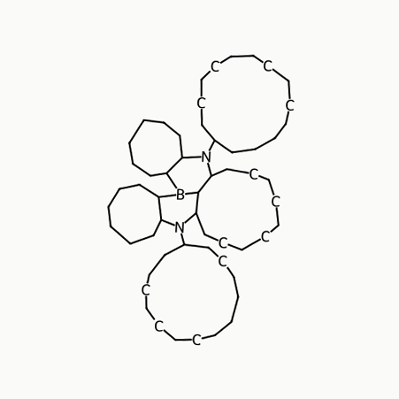 C1CCCCCCC(N2C3CCCCCCC3B3C4CCCCCCC4N(C4CCCCCCCCCCCCC4)C4CCCCCCCCCC2C34)CCCCCC1